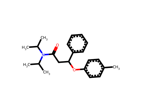 Cc1ccc(OC(CC(=O)N(C(C)C)C(C)C)c2ccccc2)cc1